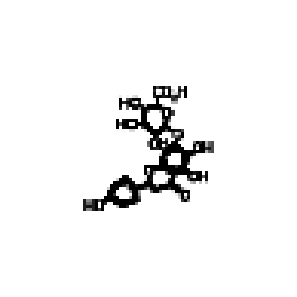 O=C1CC(c2ccc(O)cc2)Oc2cc(O[C@@H]3O[C@H](C(=O)O)[C@@H](O)[C@H](O)[C@H]3O)c(O)c(O)c21